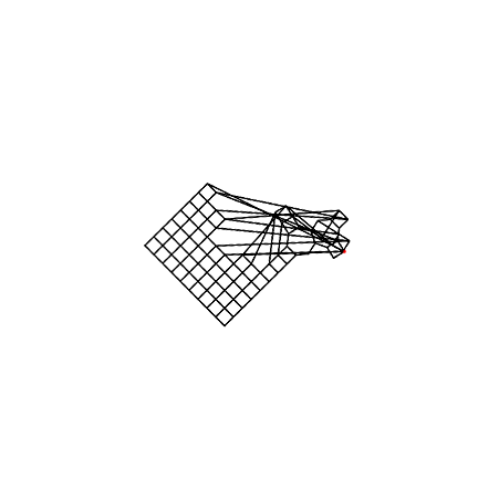 C1C2C3CC4C5C6C7C8C9C%10C%11CC%12C%13C%14C%15C%16C%17C%18C%19CC%20C%21C%22C%23C%24C%25C%26C1C21C2C%27C%28C3%29C3C%30C4C54C65C76C87C98C%109C%11%12C%13%10C%14%11C%15%12C%16%13C%17%14C%18%15C%20%19C%21%16C%22%17C%23%18C%24%19C%25%20C%261C21C%272C%28%21C%29%22C3%23C%304C53C64C75C86C9%10C%117C%128C%139C%14%10C%16%15C%17%11C%18%12C%19%13C%201C21C%212C%22%14C%233C43C54C67C85C96C%11%10C%127C%131C21C%143C45C761